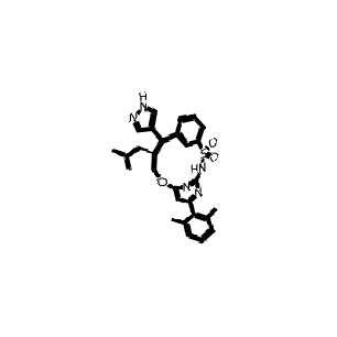 Cc1cccc(C)c1-c1cc2nc(n1)NS(=O)(=O)c1cccc(c1)C(c1cn[nH]c1)[C@H](CC(C)C)CO2